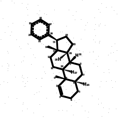 C[C@]12C=CCC[C@@H]1CC[C@@H]1[C@@H]2CC[C@]2(C)[C@@H](c3ccccc3)CC[C@@H]12